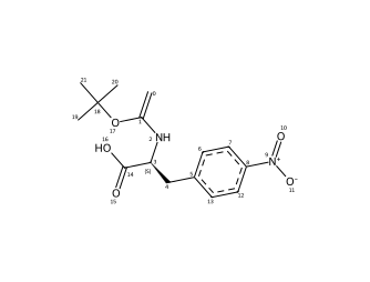 C=C(N[C@@H](Cc1ccc([N+](=O)[O-])cc1)C(=O)O)OC(C)(C)C